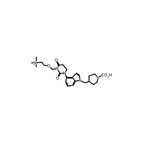 C[Si](C)(C)CCOCN1C(=O)CCN(c2cccc3c2ccn3CC2CCN(C(=O)O)CC2)C1=O